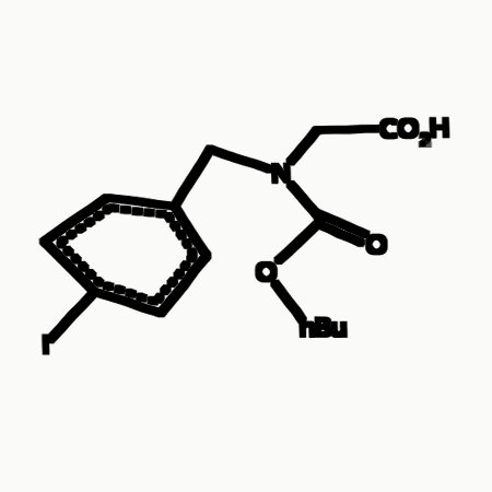 CCCCOC(=O)N(CC(=O)O)Cc1ccc(I)cc1